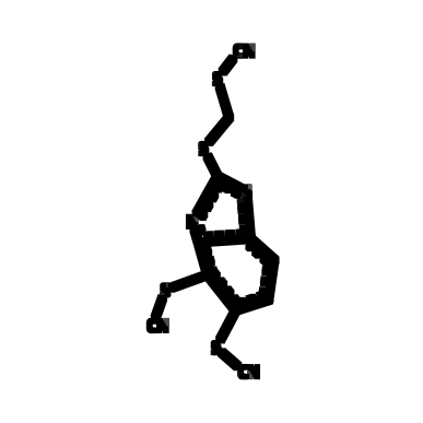 N#CSCSc1nc2c(SC#N)c(SC#N)ccc2s1